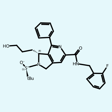 CC(C)(C)[S@@+]([O-])N1Cc2cc(C(=O)NCc3ccccc3F)nc(-c3ccccc3)c2[C@H]1CCCO